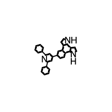 c1ccc(-c2cc(-c3ccc4c(c3)c3cc[nH]c3c3cc[nH]c43)cc(-c3ccccc3)n2)cc1